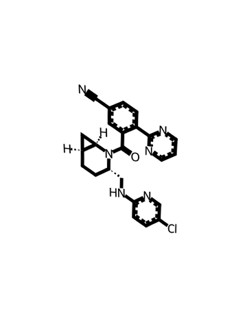 N#Cc1ccc(-c2ncccn2)c(C(=O)N2[C@H](CNc3ccc(Cl)cn3)CC[C@H]3C[C@H]32)c1